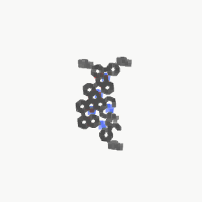 C=Cc1c(C(C)C)n(-c2cccc(N(c3cc(N(c4cccc(-n5c6ccc(C(C)(C)C)cc6c6cc(C(C)(C)C)ccc65)c4)c4c(-c5ccccc5)cccc4-c4ccccc4)c4c5c3CCCN5CCC4)c3c(-c4ccccc4)cccc3-c3ccccc3)c2)c2ccc(C(C)(C)C)cc12